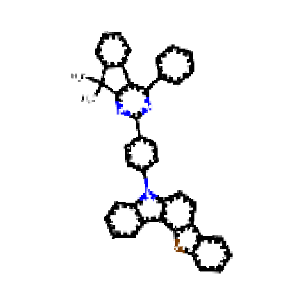 CC1(C)c2ccccc2-c2c(-c3ccccc3)nc(-c3ccc(-n4c5ccccc5c5c6sc7ccccc7c6ccc54)cc3)nc21